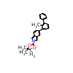 Cc1c(-c2ccccc2)cccc1-c1ccc2cn(C(=O)OC(C)(C)C)cc2c1